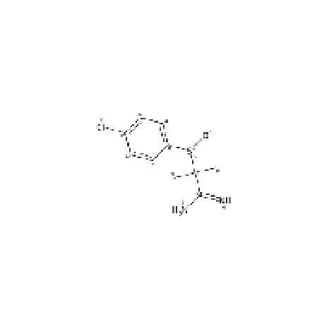 CC(C)(C(=N)N)[S+]([O-])c1ccc(Cl)cc1